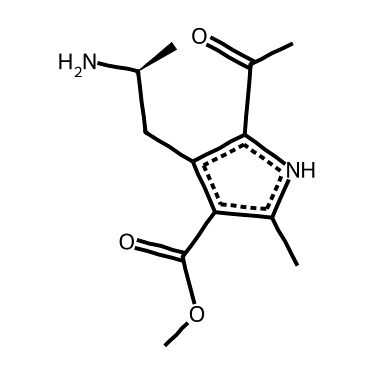 COC(=O)c1c(C)[nH]c(C(C)=O)c1C[C@H](C)N